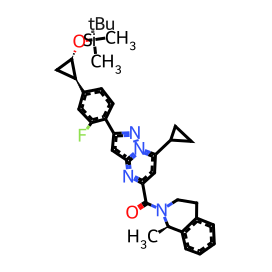 C[C@@H]1c2ccccc2CCN1C(=O)c1cc(C2CC2)n2nc(-c3ccc([C@H]4C[C@@H]4O[Si](C)(C)C(C)(C)C)cc3F)cc2n1